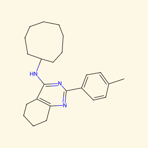 Cc1ccc(-c2nc3c(c(NC4CCCCCCCC4)n2)CCCC3)cc1